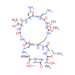 CCCCCCCC(=O)N[C@@H](CO)C(=O)N[C@H](C(=O)N[C@@H](CCN)C(=O)N[C@H]1CCNC(=O)[C@H]([C@@H](C)O)NC(=O)[C@H](CCN)NC(=O)[C@H](CCN)NC(=O)[C@H]([C@@H](C)O)NC(=O)CNC(=O)[C@H](CCN)NC1=O)[C@@H](C)O